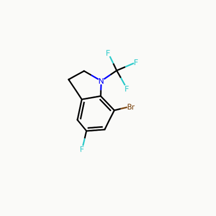 Fc1cc(Br)c2c(c1)CCN2C(F)(F)F